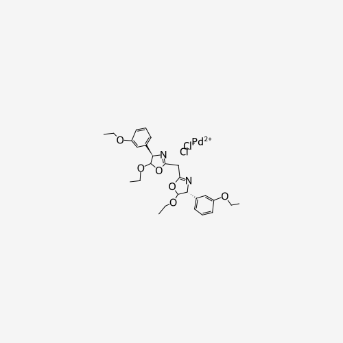 CCOc1cccc([C@H]2N=C(CC3=N[C@H](c4cccc(OCC)c4)C(OCC)O3)OC2OCC)c1.[Cl-].[Cl-].[Pd+2]